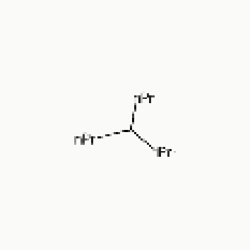 CCCC(CCC)[C](C)C